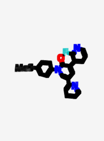 CSc1ccc(-n2cc(-c3ccccn3)cc(-c3cccnc3F)c2=O)cc1